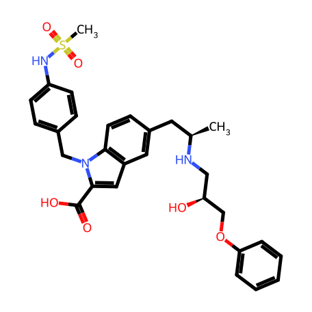 C[C@H](Cc1ccc2c(c1)cc(C(=O)O)n2Cc1ccc(NS(C)(=O)=O)cc1)NC[C@H](O)COc1ccccc1